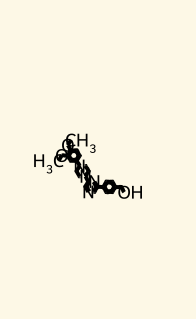 COc1ccc(N2CCN(c3cncc(-c4ccc(CO)cc4)n3)CC2)cc1OC